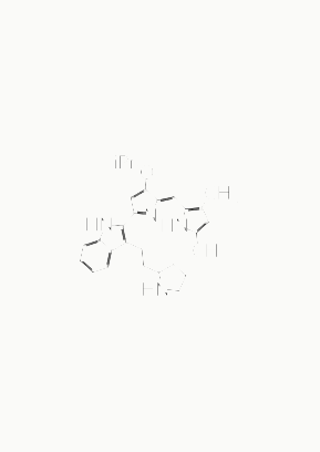 Cc1cc(C)c(C=C2N=C(c3[nH]c4ccccc4c3CCC3CCCN3)C=C2OC(C)C)[nH]1